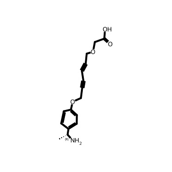 C[C@@H](N)c1ccc(OCC#CC#CCOCC(=O)O)cc1